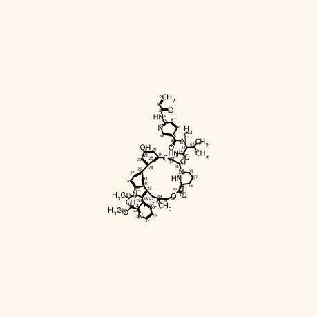 C=CC(=O)Nc1ccc(C(=O)N(C)C(C(=O)N[C@H]2Cc3cc(O)cc(c3)-c3ccc4c(c3)c(c(-c3cccnc3[C@H](C)OC)n4CC)CC(C)(C)COC(=O)[C@@H]3CCCN(N3)C2=O)C(C)C)cn1